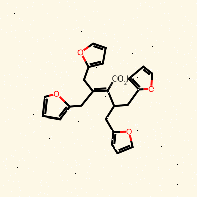 O=C(O)C(=C(Cc1ccco1)Cc1ccco1)C(Cc1ccco1)Cc1ccco1